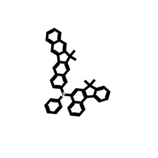 CC1(C)c2cc3ccccc3cc2-c2cc3ccc(N(c4ccccc4)c4cc5c(c6ccccc46)-c4ccccc4C5(C)C)cc3cc21